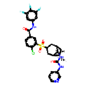 C[C@H]1CC2CC(S(=O)(=O)c3cc(C(=O)Nc4cc(F)c(F)c(F)c4)ccc3Cl)CC1[C@@H]2NC(=O)Nc1cccnc1